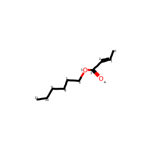 [CH2]C=CC(=O)OCCCCCC